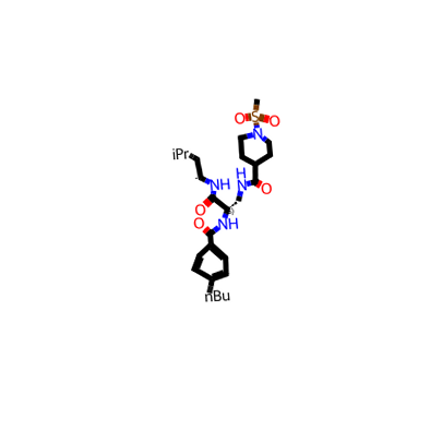 CCCCc1ccc(C(=O)N[C@@H](CNC(=O)C2CCN(S(C)(=O)=O)CC2)C(=O)N[CH]CC(C)C)cc1